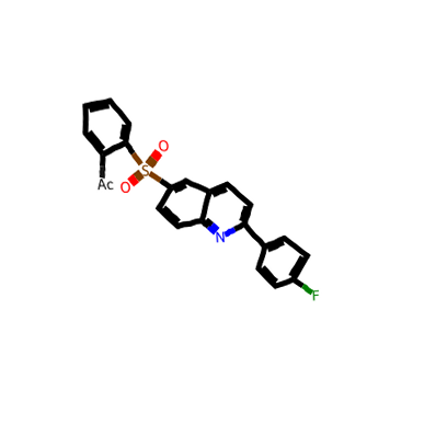 CC(=O)c1ccccc1S(=O)(=O)c1ccc2nc(-c3ccc(F)cc3)ccc2c1